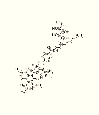 CCCCCCN(CCNC(=O)c1ccc(CCN(C[C@H](CNC(=O)c2nc(Cl)c(N)nc2N)Cc2ccccc2C)C(=O)OC(C)(C)C)cc1)C[C@H](O)[C@@H](O)[C@H](O)[C@H](O)CO